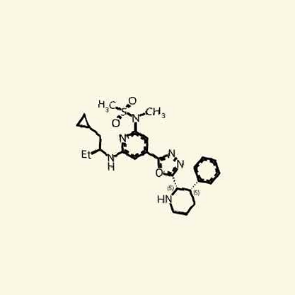 CCC(CC1CC1)Nc1cc(-c2nnc([C@H]3NCCC[C@H]3c3ccccc3)o2)cc(N(C)S(C)(=O)=O)n1